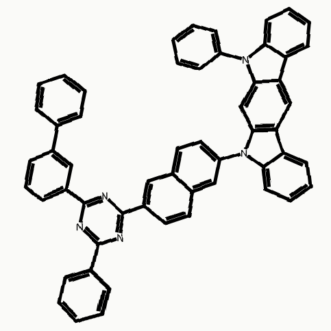 c1ccc(-c2cccc(-c3nc(-c4ccccc4)nc(-c4ccc5cc(-n6c7ccccc7c7cc8c9ccccc9n(-c9ccccc9)c8cc76)ccc5c4)n3)c2)cc1